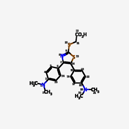 CN(C)c1ccc(-c2nc(SCC(=O)O)sc2-c2ccc(N(C)C)cc2)cc1